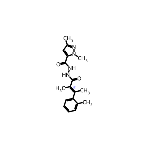 C/C(C(=O)NNC(=O)c1cc(C)nn1C)=C(/C)c1ccccc1C